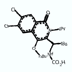 CCCCOc1c(C(NC(=O)O)C(C)(C)C)n(C(C)C)c(=O)c2cc(Cl)c(Cl)cc12